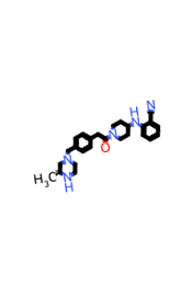 C[C@@H]1CN(Cc2ccc(CC(=O)N3CCC(Nc4ccccc4C#N)CC3)cc2)CCN1